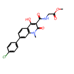 COC(=O)CNC(=O)c1c(O)c2ccc(-c3ccc(Cl)cc3)cc2n(C)c1=O